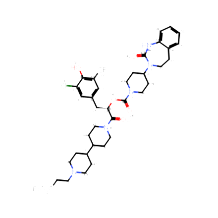 CCOC(=O)CCN1CCC(C2CCN(C(=O)[C@@H](Cc3cc(Cl)c(O)c(C(F)(F)F)c3)OC(=O)N3CCC(N4CCc5ccccc5NC4=O)CC3)CC2)CC1